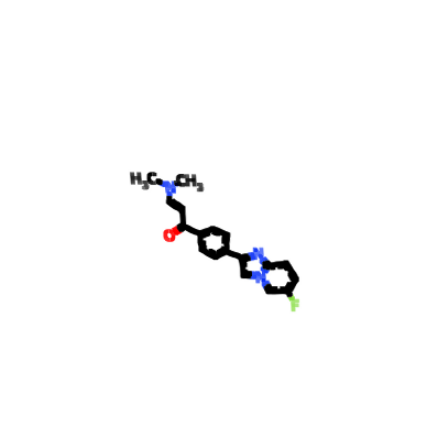 CN(C)C=CC(=O)c1ccc(-c2cn3cc(F)ccc3n2)cc1